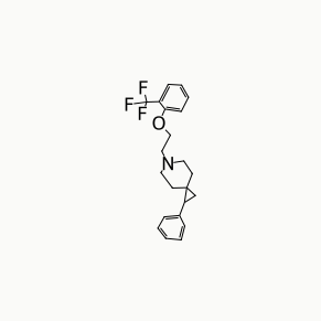 FC(F)(F)c1ccccc1OCCN1CCC2(CC1)CC2c1ccccc1